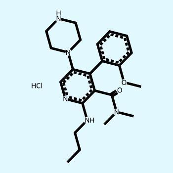 CCCNc1ncc(N2CCNCC2)c(-c2ccccc2OC)c1C(=O)N(C)C.Cl